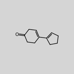 O=C1CC=C(C2=CCCC2)CC1